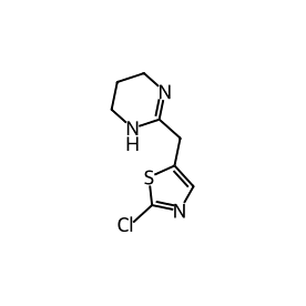 Clc1ncc(CC2=NCCCN2)s1